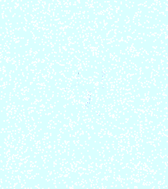 CN(N)/C(=N/N)NN